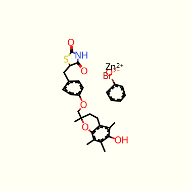 Brc1ccccc1.Cc1c(C)c2c(c(C)c1O)CCC(C)(COc1ccc(CC3SC(=O)NC3=O)cc1)O2.[O-2].[Zn+2]